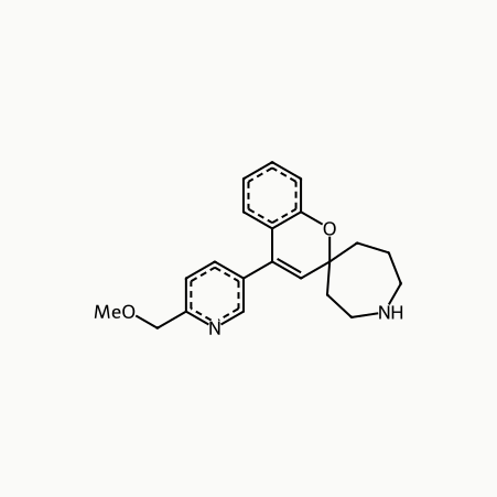 COCc1ccc(C2=CC3(CCCNCC3)Oc3ccccc32)cn1